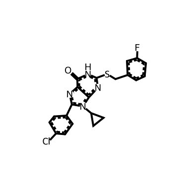 O=c1[nH]c(SCc2cccc(F)c2)nc2c1nc(-c1ccc(Cl)cc1)n2C1CC1